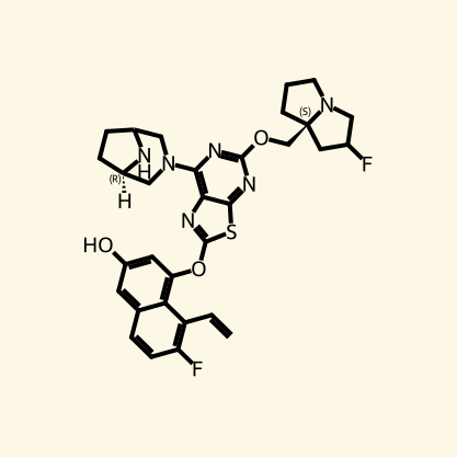 C=Cc1c(F)ccc2cc(O)cc(Oc3nc4c(N5CC6CC[C@H](C5)N6)nc(OC[C@@]56CCCN5CC(F)C6)nc4s3)c12